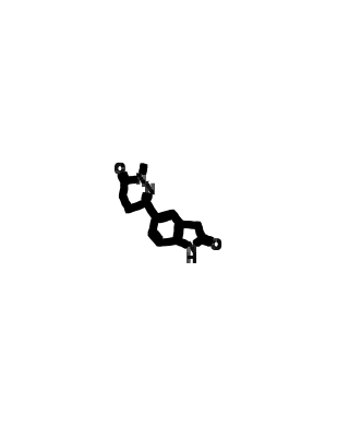 CN1N=C(c2ccc3c(c2)CC(=O)N3)CCC1=O